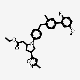 CCOC(=O)CC1CC(c2cc(C)no2)CN1c1ccc(Cc2ccc(-c3cc(OC)ccc3F)cc2C)cc1